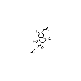 COCCOC(=O)C1=CN(C2CC2)c2cc(OC3CC3)c(F)cc2C1O